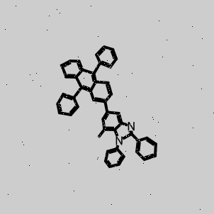 Cc1cc(-c2ccc3c(-c4ccccc4)c4ccccc4c(-c4ccccc4)c3c2)cc2nc(-c3ccccc3)n(-c3ccccc3)c12